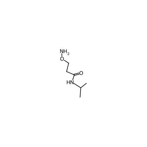 CC(C)NC(=O)CCON